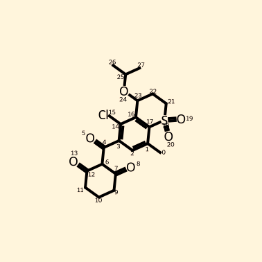 Cc1cc(C(=O)C2C(=O)CCCC2=O)c(Cl)c2c1S(=O)(=O)CCC2OC(C)C